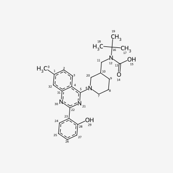 Cc1ccc2c(N3CCCC(CN(C(=O)O)C(C)(C)C)C3)nc(-c3ccccc3O)nc2c1